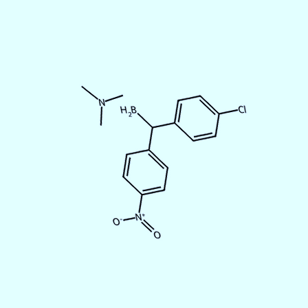 BC(c1ccc(Cl)cc1)c1ccc([N+](=O)[O-])cc1.CN(C)C